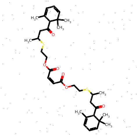 CC1=CC=CC(C)(C)C1C(=O)CC(C)SCCOC(=O)/C=C\C(=O)OCCSC(C)CC(=O)C1C(C)=CC=CC1(C)C